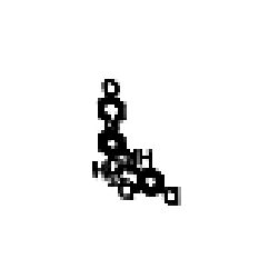 C[C@@H](Nc1cc(N2CCC(=O)CC2)ccc1Cl)c1ccc(Cl)cc1Cl